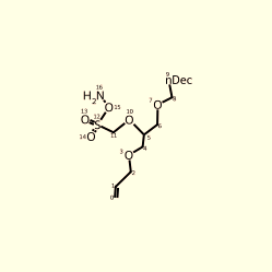 C=CCOCC(COCCCCCCCCCCC)OCS(=O)(=O)ON